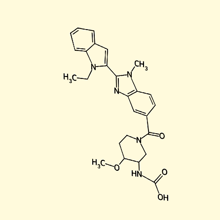 CCn1c(-c2nc3cc(C(=O)N4CCC(OC)C(NC(=O)O)C4)ccc3n2C)cc2ccccc21